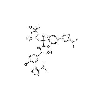 CC(C[C@](N)(C(=O)N[C@H](CO)c1ccc(Cl)c(-n2ncnc2C(F)F)c1)c1ccc(-c2cnn(C(F)F)c2)cc1)CS(C)(=O)=O